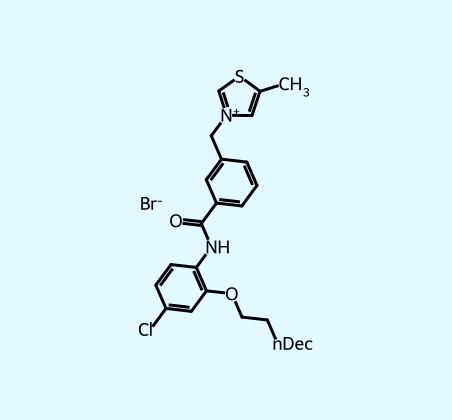 CCCCCCCCCCCCOc1cc(Cl)ccc1NC(=O)c1cccc(C[n+]2csc(C)c2)c1.[Br-]